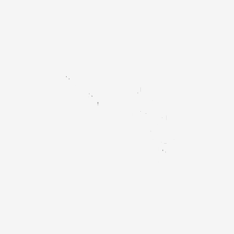 CC[C@H]1[C@@H](O)C2[C@H](CC[C@]3(C)[C@@H]([C@H](C)CCCOC(=O)N4CCC(N5CCCCC5)CC4)CC[C@@H]23)C2(C)CC[C@@H](O)C[C@@H]12